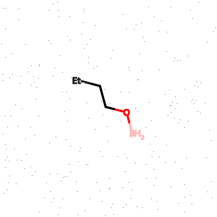 BOCCCC